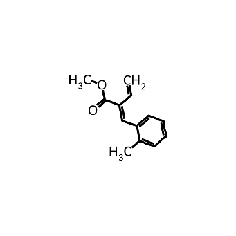 C=C/C(=C\c1ccccc1C)C(=O)OC